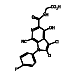 N#Cc1nc(C(=O)NCC(=O)O)c(O)c2c(Cl)c(Cl)n(-c3ccc(F)cc3)c12